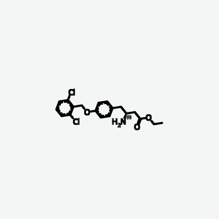 CCOC(=O)C[C@@H](N)Cc1ccc(OCc2c(Cl)cccc2Cl)cc1